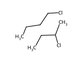 CCC(C)Cl.CCCCCl